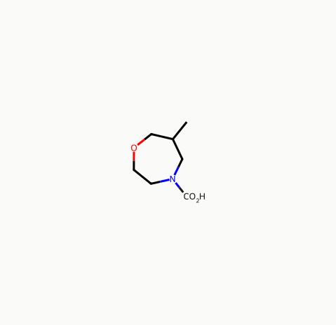 CC1COCCN(C(=O)O)C1